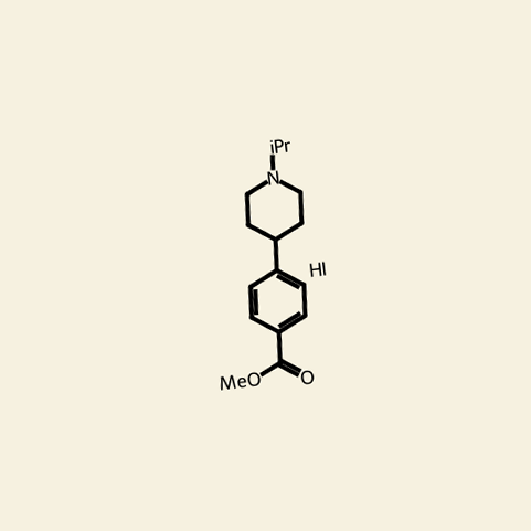 COC(=O)c1ccc(C2CCN(C(C)C)CC2)cc1.I